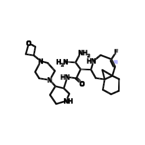 NC(N)C(C(=O)NC1CNCCC1N1CCN(C2COC2)CC1)C1CC23CCCCC2(/C=C(/F)CN1)C3